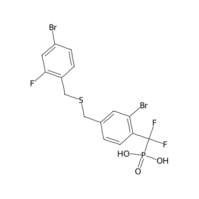 O=P(O)(O)C(F)(F)c1ccc(CSCc2ccc(Br)cc2F)cc1Br